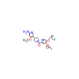 COc1cc(C(=O)N2CCC(c3cnc(N)cc3OC)CC2)ncc1OCC1(CF)CC1